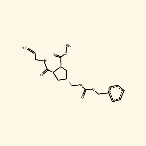 C=CCNC(=O)[C@@H]1C[C@@H](CNC(=O)OCc2ccccc2)CN1C(=O)OC(C)(C)C